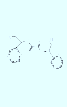 CCC(OC(=O)C(=O)OC(CC)c1cnccn1)c1cnccn1